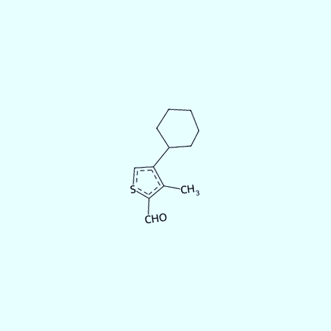 Cc1c(C2CCCCC2)csc1C=O